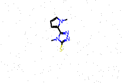 Cn1cccc1-c1nnc([S])n1C